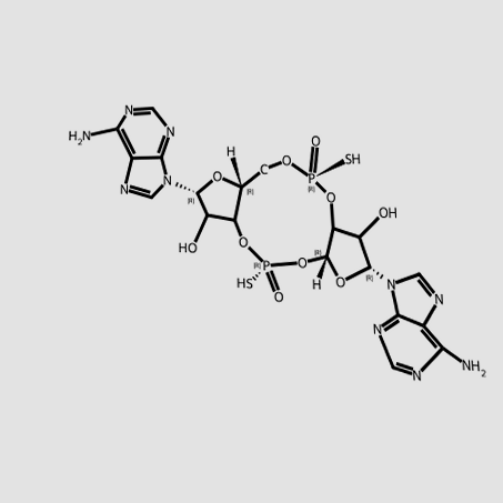 Nc1ncnc2c1ncn2[C@@H]1O[C@@H]2O[P@](=O)(S)OC3C(O)[C@H](n4cnc5c(N)ncnc54)O[C@@H]3CO[P@@](=O)(S)OC2C1O